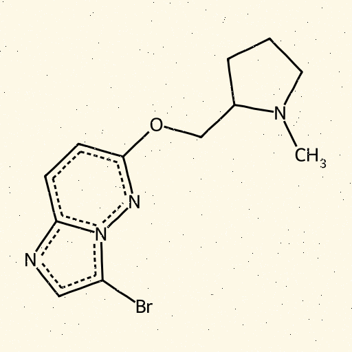 CN1CCCC1COc1ccc2ncc(Br)n2n1